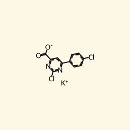 O=C([O-])c1cc(-c2ccc(Cl)cc2)nc(Cl)n1.[K+]